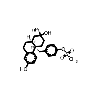 CCCC1(O)CC[C@@]2(Cc3ccc(OS(C)(=O)=O)cc3)c3ccc(O)cc3CC[C@H]2C1